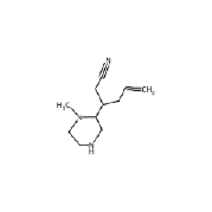 C=CCC(CC#N)C1CNCCN1C